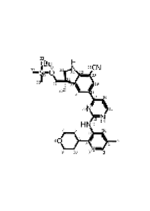 Cc1cnc(C2CCOCC2)c(Nc2nccc(-c3cc(C#N)c4c(c3)[C@@](C)(CO[Si](C)(C)C(C)(C)C)CN4)n2)c1